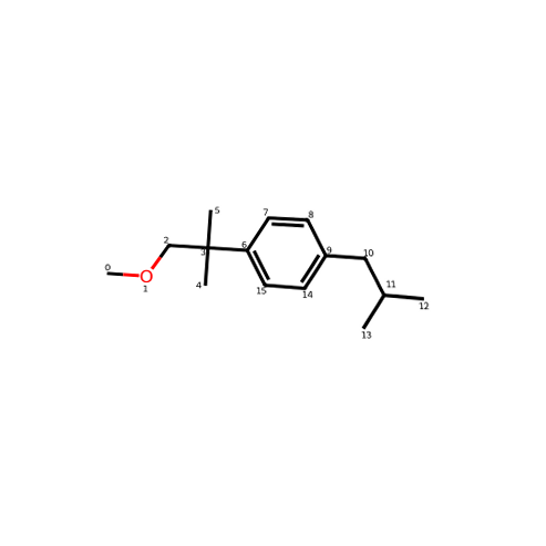 COCC(C)(C)c1ccc(CC(C)C)cc1